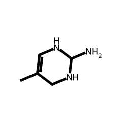 CC1=CNC(N)NC1